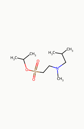 CC(C)CN(C)CCS(=O)(=O)OC(C)C